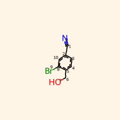 N#Cc1ccc(CO)c(Br)c1